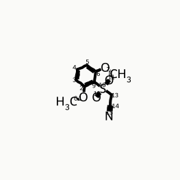 COc1cccc(OC)c1S(=O)(=O)CC#N